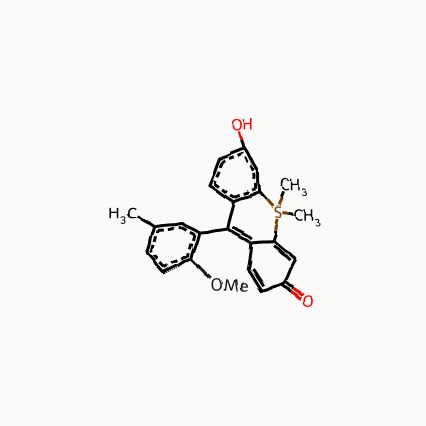 COc1ccc(C)cc1C1=C2C=CC(=O)C=C2S(C)(C)c2cc(O)ccc21